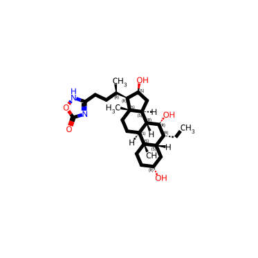 CC[C@H]1[C@@H](O)[C@@H]2[C@H](CC[C@]3(C)[C@@H]([C@H](C)CCc4nc(=O)o[nH]4)[C@@H](O)C[C@@H]23)[C@@]2(C)CC[C@@H](O)C[C@@H]12